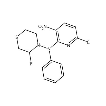 O=[N+]([O-])c1ccc(Cl)nc1N(c1ccccc1)N1CCSCC1F